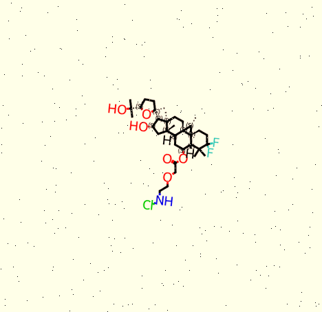 C[C@H]1[C@@]23CC[C@]4(C)[C@@H]([C@]5(C)CC[C@@H](C(C)(C)O)O5)[C@@H](O)C[C@@]4(C)[C@@H]2C[C@H](OC(=O)COCCNCl)[C@H]2C(C)(C)C(F)(F)CC[C@@]123